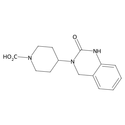 O=C(O)N1CCC(N2Cc3ccccc3NC2=O)CC1